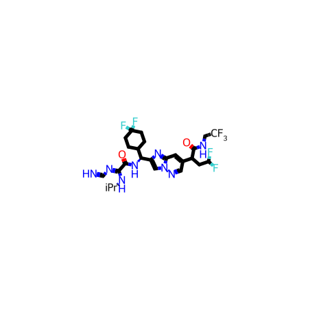 CC(C)N/C(=N\C=N)C(=O)N[C@H](c1cn2ncc(C(CC(F)F)C(=O)NCC(F)(F)F)cc2n1)C1CCC(F)(F)CC1